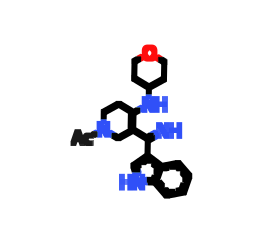 CC(=O)N1CCC(NC2CCOCC2)=C(C(=N)c2c[nH]c3ccccc23)C1